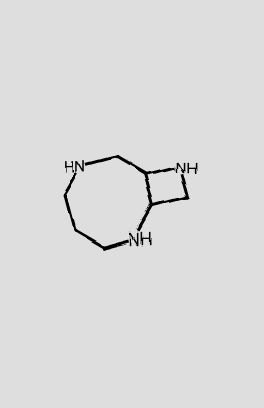 C1CNCC2NCC2NC1